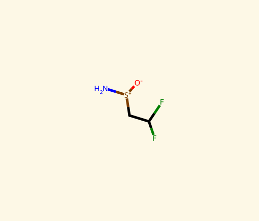 N[S+]([O-])CC(F)F